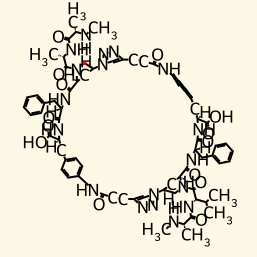 CN[C@@H](C)C(=O)N[C@@H](C)C(=O)N1C[C@@H]2C[C@H]1C(=O)N[C@@H](Cc1ccccc1)C(=O)N[C@H](C(=O)O)Cc1ccc(cc1)NC(=O)CCc1cn(nn1)[C@H]1C[C@@H](C(=O)N[C@@H](Cc3ccccc3)C(=O)N[C@H](C(=O)O)Cc3ccc(cc3)NC(=O)CCc3cn2nn3)N(C(=O)[C@@H](NC(=O)[C@H](C)NC)C(C)C)C1